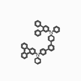 C1=CCCC(N(c2ccc(-c3cccc(C4=CCC(N(c5ccccc5)c5ccc(-c6ccccc6)c(-c6ccccc6)c5)C=C4)c3)cc2)c2ccc3c4ccccc4c4ccccc4c3c2)=C1